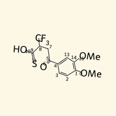 COc1ccc(C(=O)CC(C(O)=S)C(F)(F)F)cc1OC